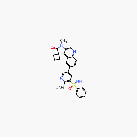 COc1ncc(-c2ccc3ncc4c(c3c2)C2(CCC2)C(=O)N4C)cc1S(=N)(=O)c1ccccc1